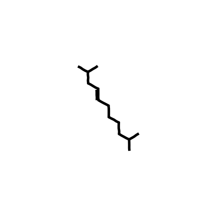 CC(C)C/C=C/CCCCC(C)C